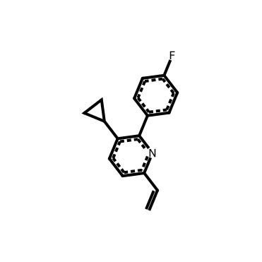 C=Cc1ccc(C2CC2)c(-c2ccc(F)cc2)n1